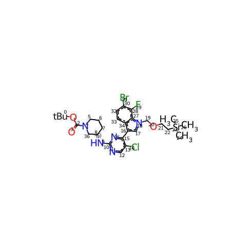 CC(C)(C)OC(=O)N1CCC[C@H](Nc2ncc(Cl)c(-c3cn(COCC[Si](C)(C)C)c4c(F)c(Br)ccc34)n2)C1